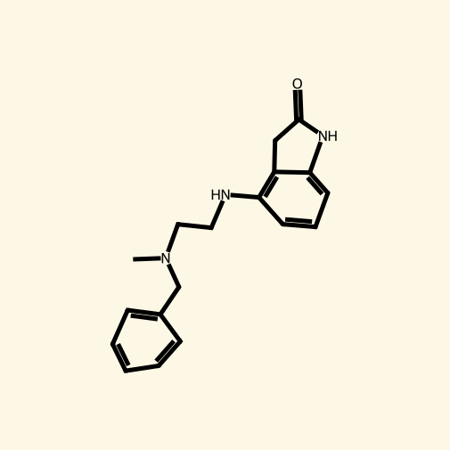 CN(CCNc1cccc2c1CC(=O)N2)Cc1ccccc1